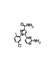 Cc1ccc(Cl)cc1-n1nc(C(N)=O)cc1-c1ccnc(N)n1